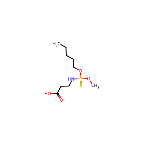 CCCCCOP(=S)(NCCC(=O)O)OC